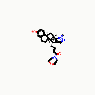 Cn1ncc2c1[C@@]1(C)CC[C@@H]3c4ccc(O)cc4CC[C@H]3[C@@H]1[C@H]2CCCC(=O)N1CCOCC1